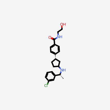 C[C@@H](NC1CC[C@H](c2ccc(C(=O)NCCO)cc2)C1)c1cccc(Cl)c1